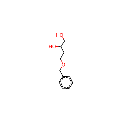 OCC(O)CCOCc1ccccc1